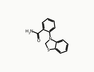 NC(=O)c1ccccc1N1CSc2ccccc21